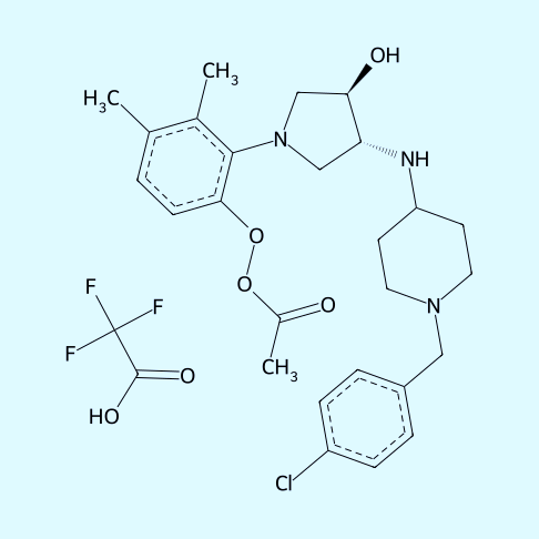 CC(=O)OOc1ccc(C)c(C)c1N1C[C@@H](O)[C@H](NC2CCN(Cc3ccc(Cl)cc3)CC2)C1.O=C(O)C(F)(F)F